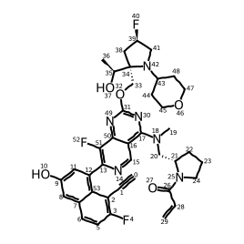 C#Cc1c(F)ccc2cc(O)cc(-c3ncc4c(N(C)C[C@@H]5CCCN5C(=O)C=C)nc(OC[C@]5([C@H](C)O)C[C@@H](F)CN5C5CCOCC5)nc4c3F)c12